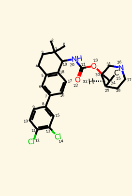 CC1(C)CCc2cc(-c3ccc(Cl)c(Cl)c3)ccc2C1NC(=O)O[C@H]1CN2CCC1CC2